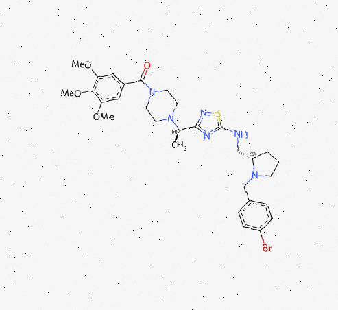 COc1cc(C(=O)N2CCN([C@H](C)c3nsc(NC[C@@H]4CCCN4Cc4ccc(Br)cc4)n3)CC2)cc(OC)c1OC